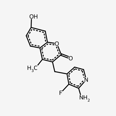 Cc1c(Cc2ccnc(N)c2F)c(=O)oc2cc(O)ccc12